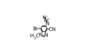 Cn1cnc2c(C#N)c(N=[N+]=[N-])cc(Br)c21